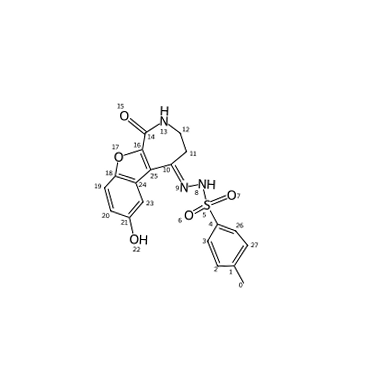 Cc1ccc(S(=O)(=O)NN=C2CCNC(=O)c3oc4ccc(O)cc4c32)cc1